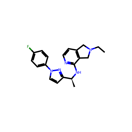 CCN1Cc2ccnc(N[C@@H](C)c3ccn(-c4ccc(F)cc4)n3)c2C1